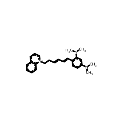 CN(C)c1ccc(C=CC=CCC[n+]2cccc3ccccc32)c(N(C)C)c1